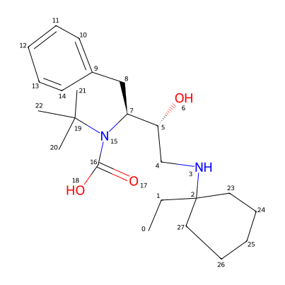 CCC1(NC[C@@H](O)[C@H](Cc2ccccc2)N(C(=O)O)C(C)(C)C)CCCCC1